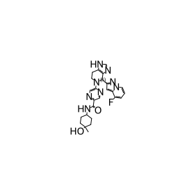 CC1(O)CCC(NC(=O)c2cnc(N3CCc4[nH]cnc4[C@H]3c3cc4c(F)cccn4n3)cn2)CC1